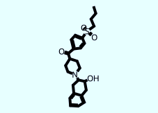 CCCCS(=O)(=O)c1ccc(C(=O)C2CCN(C3Cc4ccccc4CC3O)CC2)cc1